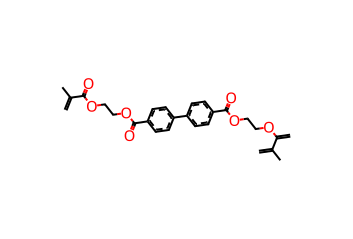 C=C(C)C(=C)OCCOC(=O)c1ccc(-c2ccc(C(=O)OCCOC(=O)C(=C)C)cc2)cc1